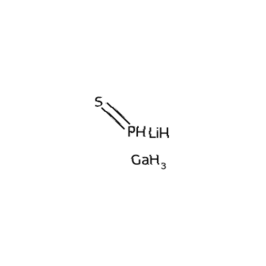 P=S.[GaH3].[LiH]